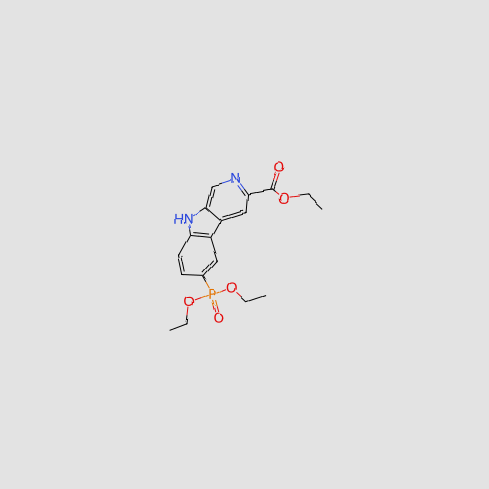 CCOC(=O)c1cc2c(cn1)[nH]c1ccc(P(=O)(OCC)OCC)cc12